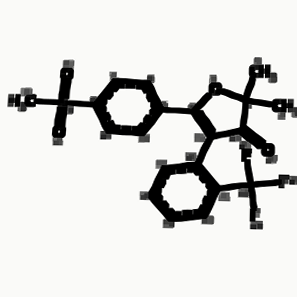 CC1(C)OC(c2ccc(S(C)(=O)=O)cc2)=C(c2ccccc2C(F)(F)F)C1=O